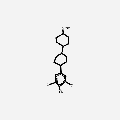 CCCCCC1CCC(C2CCC(c3cc(Cl)c(C#N)c(Cl)c3)CC2)CC1